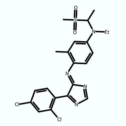 CCN(c1ccc(N=C2N=CN=C2c2ccc(Cl)cc2Cl)c(C)c1)C(C)S(C)(=O)=O